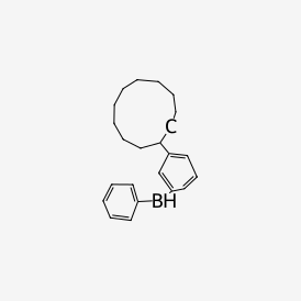 B(c1ccccc1)c1cccc(C2CCCCCCCCCC2)c1